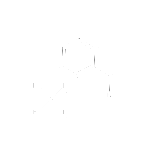 CC[N+](CC)(CC)CC.NCc1ccccc1